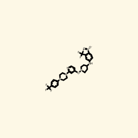 O=[N+]([O-])c1ccc(NC2CCN(Oc3ccnc(N4CCN(c5ccc(C(F)(F)F)cc5)CC4)c3)CC2)cc1C(F)(F)F